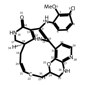 COc1c(Cl)cccc1Nc1c2[nH]c3c1C(=O)NC[C@@H]3C/C=C\CC[C@H]1CNc3nccc-2c3O1